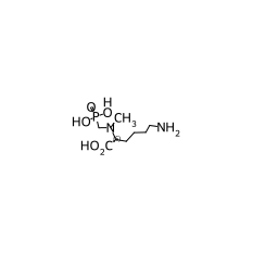 CN(CP(=O)(O)O)[C@@H](CCCCN)C(=O)O